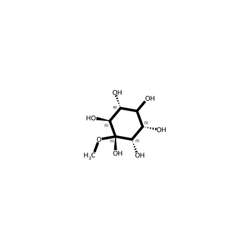 CO[C@]1(O)[C@@H](O)[C@H](O)C(O)[C@H](O)[C@@H]1O